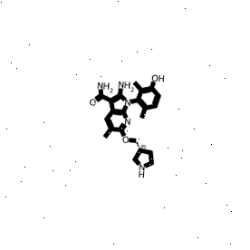 Cc1cc2c(C(N)=O)c(N)n(-c3c(C)ccc(O)c3C)c2nc1OC[C@@H]1CCNC1